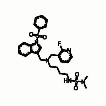 CN(C)S(=O)(=O)NCCCCN(Cc1cccnc1F)Cc1cn(S(=O)(=O)c2ccccc2)c2ccccc12